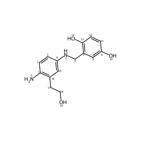 Nc1ccc(NCc2cc(O)ccc2O)cc1CCO